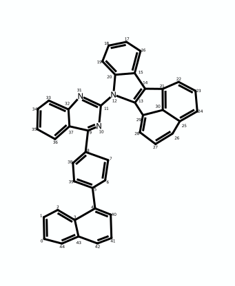 c1ccc2c(-c3ccc(-c4nc(-n5c6c(c7ccccc75)-c5cccc7cccc-6c57)nc5ccccc45)cc3)cccc2c1